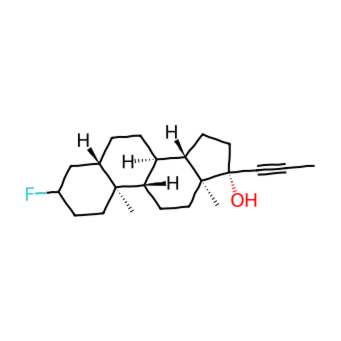 CC#C[C@]1(O)CC[C@H]2[C@@H]3CC[C@H]4CC(F)CC[C@]4(C)[C@H]3CC[C@@]21C